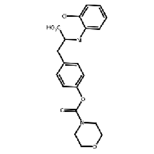 O=C(O)C(Cc1ccc(OC(=O)N2CCOCC2)cc1)Nc1ccccc1Cl